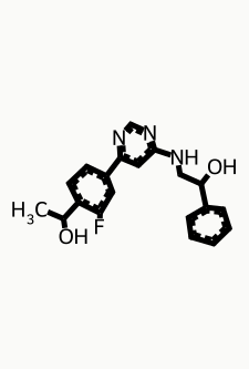 CC(O)c1ccc(-c2cc(NCC(O)c3ccccc3)ncn2)cc1F